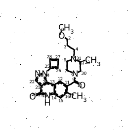 COCCCN1CCN(C(=O)c2cc3c(cc2C)[nH]c(=O)c2cnn(C4=CC=C4)c23)C[C@@H]1C